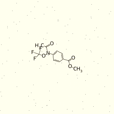 COC(=O)c1ccc(N(OC(F)(F)F)C(C)=O)cc1